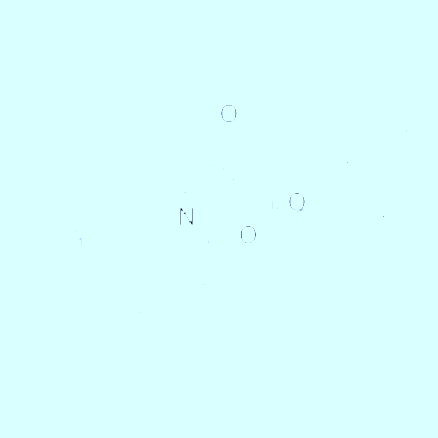 COC=C1C2CCC1CN(C(=O)OC(C)(C)C)C2